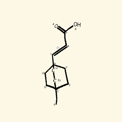 CC12CCC(/C=C/C(=O)O)(CC1)CC2